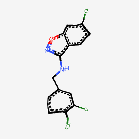 Clc1ccc2c(NCc3ccc(Cl)c(Cl)c3)noc2c1